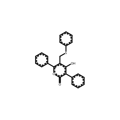 O=c1oc(-c2ccccc2)c(CSc2ccccc2)c(O)c1-c1ccccc1